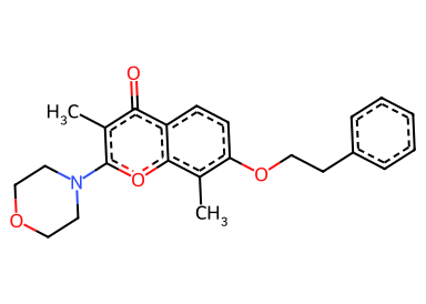 Cc1c(N2CCOCC2)oc2c(C)c(OCCc3ccccc3)ccc2c1=O